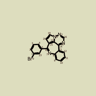 Brc1cccc(C2=Nc3ccccc3-c3ncnn4ccc2c34)c1